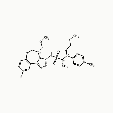 CCCO[C@@H](c1ncc(C)cn1)[C@H](C)S(=O)(=O)Nc1nnc2n1[C@@H](COC)COc1ccc(F)cc1-2